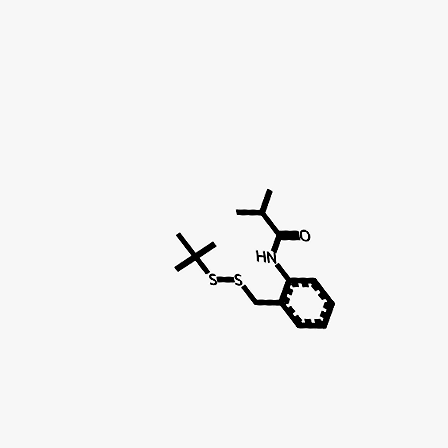 CC(C)C(=O)Nc1ccccc1CSSC(C)(C)C